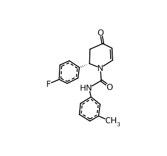 Cc1cccc(NC(=O)N2C=CC(=O)C[C@H]2c2ccc(F)cc2)c1